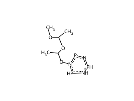 COC(C)OC(C)On1pn[pH][nH][pH]1